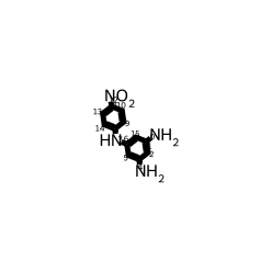 Nc1cc(N)cc(Nc2ccc([N+](=O)[O-])cc2)c1